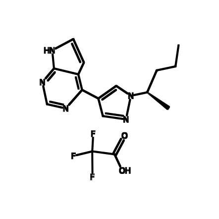 CCC[C@@H](C)n1cc(-c2ncnc3[nH]ccc23)cn1.O=C(O)C(F)(F)F